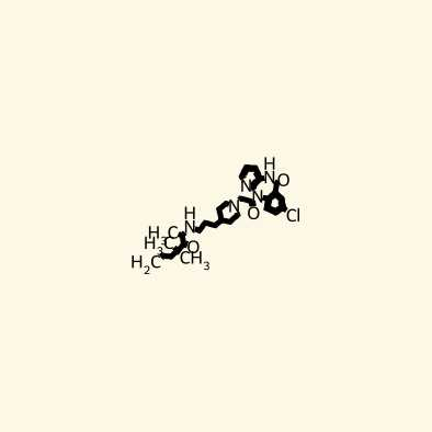 C=CCC(C)(C)C(=O)C(C)NCCCC1CCN(CC(=O)N2c3ccc(Cl)cc3C(=O)Nc3cccnc32)CC1